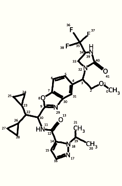 COCC(c1ccc2oc(C(NC(=O)c3ccnn3C(C)C)C(C3CC3)C3CC3)nc2c1)N1CC(C(F)(F)F)NC1=O